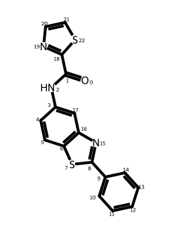 O=C(Nc1ccc2sc(-c3ccccc3)nc2c1)c1nccs1